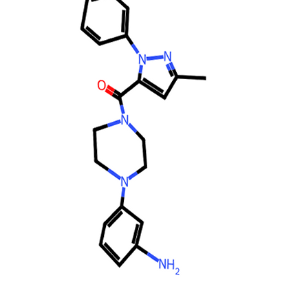 Cc1cc(C(=O)N2CCN(c3cccc(N)c3)CC2)n(-c2ccccc2)n1